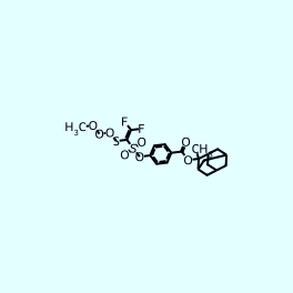 COOOSC(=C(F)F)S(=O)(=O)Oc1ccc(C(=O)OC2(C)C3CC4CC(C3)CC2C4)cc1